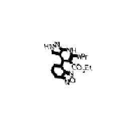 CCCC1=C(C(=O)OCC)C(c2cccc3nonc23)c2c[nH]nc2N1